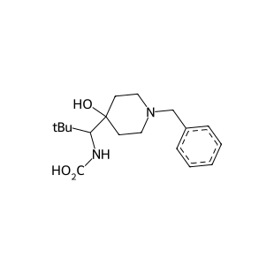 CC(C)(C)C(NC(=O)O)C1(O)CCN(Cc2ccccc2)CC1